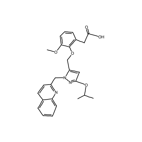 COc1cccc(CC(=O)O)c1OCc1cc(OC(C)C)nn1Cc1ccc2ccccc2n1